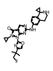 CC(C)(CF)c1coc(-n2c3nc(Nc4ccc5c(c4)CCNC54CC4)ncc3c(=O)n2C2CC2)n1